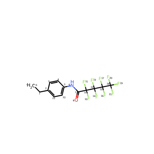 [CH2]Cc1ccc(NC(=O)C(F)(F)C(F)(F)C(F)(F)C(F)(F)F)cc1